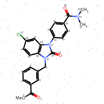 COC(=O)c1cccc(Cn2c(=O)n(-c3ccc(C(=O)N(C)C)cc3)c3cc(Cl)ccc32)c1